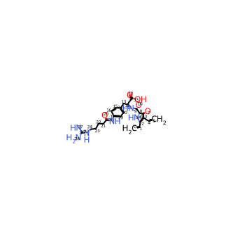 C=CC1=C(C=C)C(=O)C(C(=O)NC(Cc2ccc(NC(=O)CCCCNC(=N)N)cc2)C(=O)O)N1